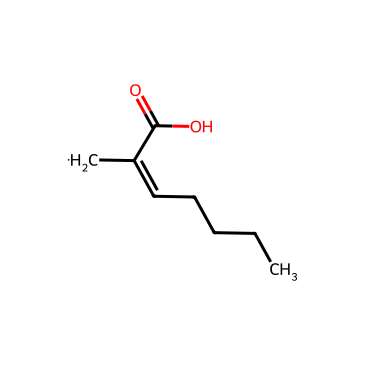 [CH2]C(=CCCCC)C(=O)O